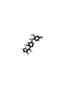 O=C(c1ccc(Nc2ccc(Br)cc2Cl)cc1Cl)c1sccc1Cl